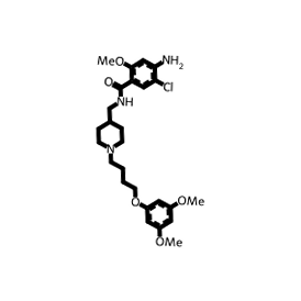 COc1cc(OC)cc(OCCCCN2CCC(CNC(=O)c3cc(Cl)c(N)cc3OC)CC2)c1